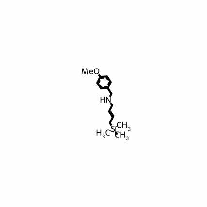 COc1ccc(CNCC=CC[Si](C)(C)C)cc1